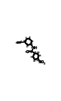 C#Cc1cccc(NC(=O)c2ccc([N+](=O)[O-])cc2)c1